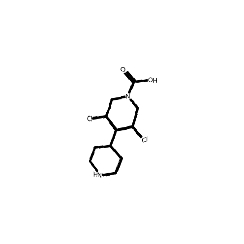 O=C(O)N1CC(Cl)C(C2CCNCC2)C(Cl)C1